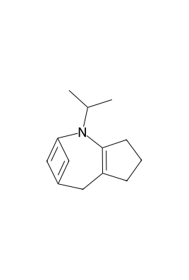 CC(C)N1C2=CC(=C2)CC2=C1CCC2